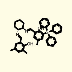 Cc1cc(C)c(O)c(/C=N/[C@@H]2CCCC[C@H]2/N=C/c2cc(C)cc([Si](c3ccccc3)(c3ccccc3)c3ccccc3)c2O)c1